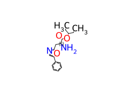 CCC(CC)OC(=O)[C@@H](N)Cc1ncc(-c2ccccc2)o1